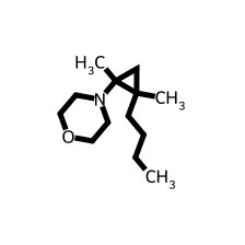 CCCCC1(C)CC1(C)N1CCOCC1